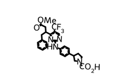 COC(=O)CC(Cc1ccccc1)c1nc(Nc2ccc(C3CCN(C(=O)O)C3)cc2)ncc1C(F)(F)F